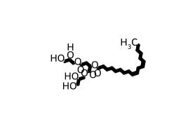 CCCCC/C=C\C/C=C\CCCCCCCC(=O)OC(CC(=O)OCC(O)CO)C(=O)OCC(O)CO